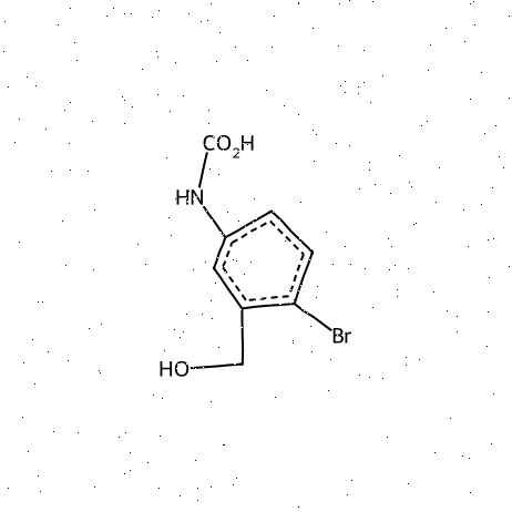 O=C(O)Nc1ccc(Br)c(CO)c1